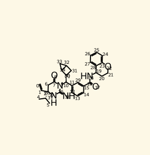 C=C[C@@]1(C(C)C)CC(=O)N(C(c2cccc(C(=O)NC3CCOc4ccccc43)c2)[C@@H]2CC3CC32)C(=N)N1